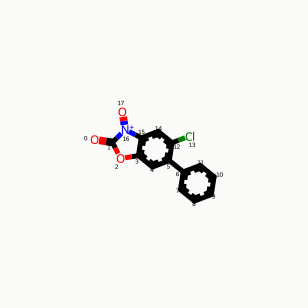 O=C1Oc2cc(-c3ccccc3)c(Cl)cc2[N+]1=O